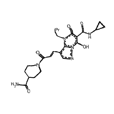 CC(C)Cn1c(=O)c(C(=O)NC2CC2)c(O)n2ncc(C=CC(=O)N3CCC(C(N)=O)CC3)c12